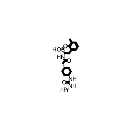 CCCNC(=O)N[C@H]1CC[C@H](CC(=O)N[C@H]2Cc3cccc(C)c3OB2O)CC1